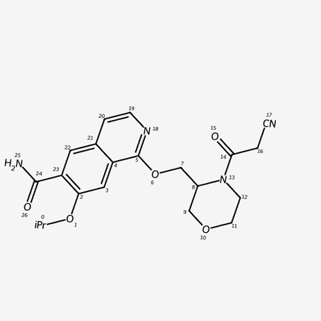 CC(C)Oc1cc2c(OCC3COCCN3C(=O)CC#N)nccc2cc1C(N)=O